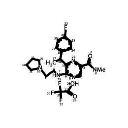 CNC(=O)c1cnc(NCCN2CCCC2)c(C(C)c2ccc(F)cc2)n1.O=C(O)C(F)(F)F